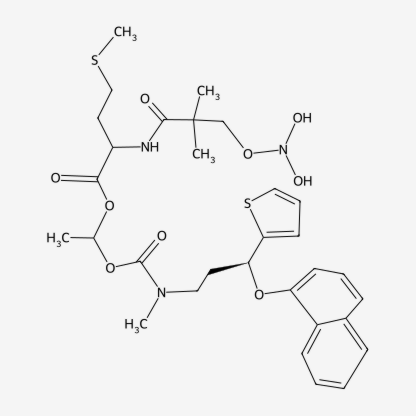 CSCCC(NC(=O)C(C)(C)CON(O)O)C(=O)OC(C)OC(=O)N(C)CC[C@H](Oc1cccc2ccccc12)c1cccs1